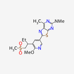 CCC(CS(C)(=O)=O)c1cc(-c2nc3c(C)nc(NC)nc3s2)cnc1OC